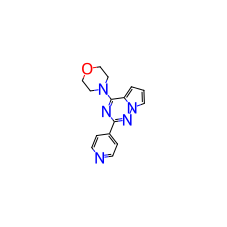 c1cc2c(N3CCOCC3)nc(-c3ccncc3)nn2c1